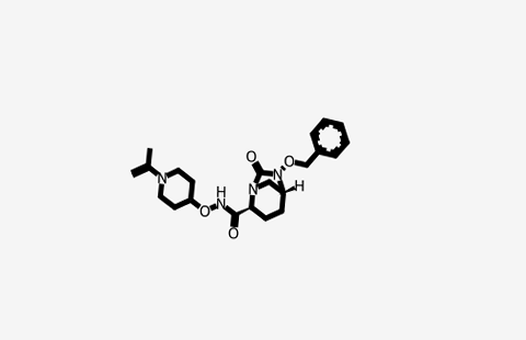 C=C(C)N1CCC(ONC(=O)[C@@H]2CC[C@@H]3CN2C(=O)N3OCc2ccccc2)CC1